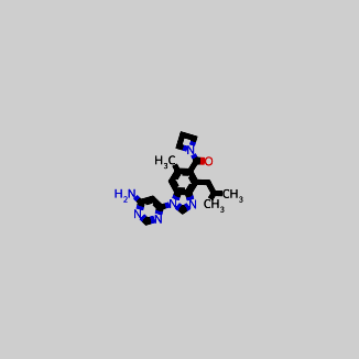 Cc1cc2c(ncn2-c2cc(N)ncn2)c(CC(C)C)c1C(=O)N1CCC1